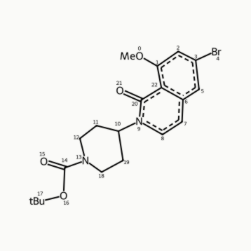 COc1cc(Br)cc2ccn(C3CCN(C(=O)OC(C)(C)C)CC3)c(=O)c12